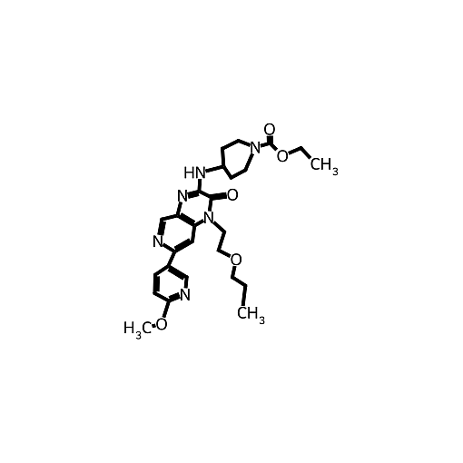 CCCOCCn1c(=O)c(NC2CCN(C(=O)OCC)CC2)nc2cnc(-c3ccc(OC)nc3)cc21